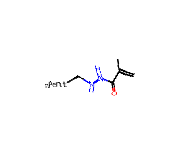 C=C(C)C(=O)NNCCCCCC